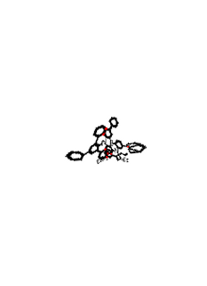 C=CCC1(N2c3cc(N4C5CC6CC(C5)CC4C6)ccc3B3c4cc(-c5ccccc5)ccc4N(c4c(-c5ccccc5)cc(-c5ccccc5)cc4-c4ccccc4)c4cc(C(C)(C)C)cc2c43)C(c2ccccc2)=C[C@H]1CC